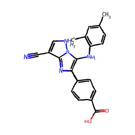 Cc1ccc(Nc2c(-c3ccc(C(=O)O)cc3)nc3c(C#N)c[nH]n23)c(C)c1